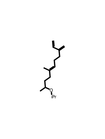 C=CC(=C)CC/C=C(\C)CCC(C)OC(C)C